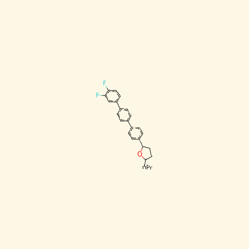 CCCC1CCC(c2ccc(-c3ccc(-c4ccc(F)c(F)c4)cc3)cc2)O1